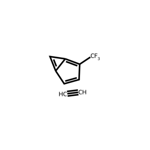 C#C.FC(F)(F)c1ccc2cc1-2